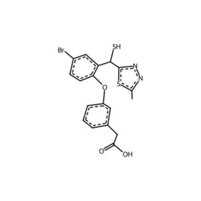 Cc1nnc(C(S)c2cc(Br)ccc2Oc2cccc(CC(=O)O)c2)s1